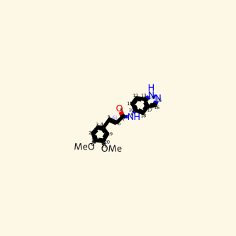 COc1ccc(/C=C/C(=O)Nc2ccc3[nH]ncc3c2)cc1OC